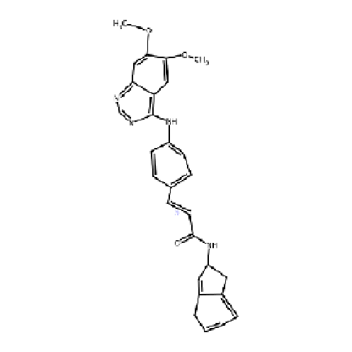 COc1cc2ncnc(Nc3ccc(/C=C/C(=O)NC4C=C5CC=CC=C5C4)cc3)c2cc1OC